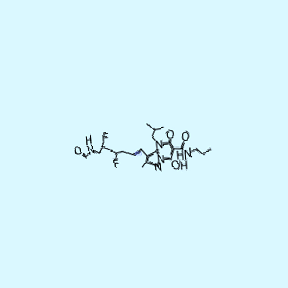 CCCNC(=O)c1c(O)n2nc(C)c(/C=C/CC(F)C(F)CNC=O)c2n(CC(C)C)c1=O